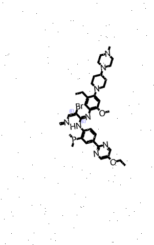 C=N/C=C(Br)\C(=N/c1cc(CC)c(N2CCC(N3CCN(C)CC3)CC2)cc1OC)Nc1ccc(-c2ncc(OCC)cn2)cc1P(C)C